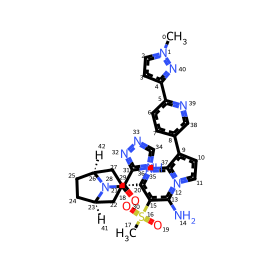 Cn1ccc(-c2ccc(-c3ccn4c(N)c(S(C)(=O)=O)c([C@@H]5C[C@H]6CC[C@@H](C5)N6C(=O)c5nnc[nH]5)nc34)cn2)n1